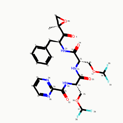 C[C@]1(C(=O)[C@H](Cc2ccccc2)NC(=O)[C@H](COC(F)F)NC(=O)[C@H](COC(F)F)NC(=O)c2ncccn2)CO1